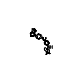 CC(C)(C)OC(=O)N[C@H]1CC[C@](F)(CCN2CCN(c3cccc4sccc34)CC2)CC1